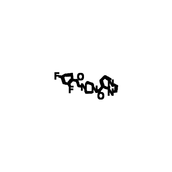 O=C(CN1CCN(C(=O)c2cccn3ccnc23)CC1)c1ccc(F)cc1F